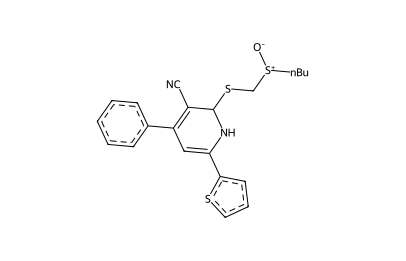 CCCC[S+]([O-])CSC1NC(c2cccs2)=CC(c2ccccc2)=C1C#N